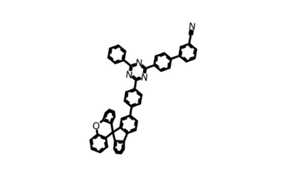 N#Cc1cccc(-c2ccc(-c3nc(-c4ccccc4)nc(-c4ccc(-c5ccc6c(c5)C5(c7ccccc7Oc7ccccc75)c5ccccc5-6)cc4)n3)cc2)c1